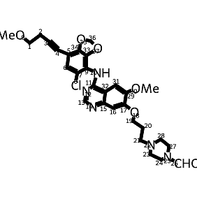 COCCC#Cc1cc(Cl)c(Nc2ncnc3cc(OCCCN4CCN(C=O)CC4)c(OC)cc23)c2c1OCO2